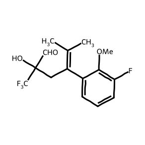 COc1c(F)cccc1C(CC(O)(C=O)C(F)(F)F)=C(C)C